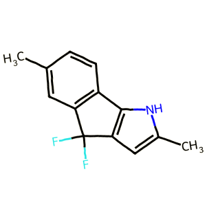 Cc1ccc2c(c1)C(F)(F)c1cc(C)[nH]c1-2